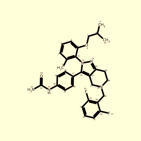 Cc1cccc(OCC(C)C)c1-n1nc2c(c1-c1ccc(NC(N)=O)cc1)CN(Cc1c(F)cccc1F)CC2